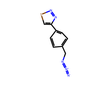 [N-]=[N+]=NCc1ccc(-c2csnn2)cc1